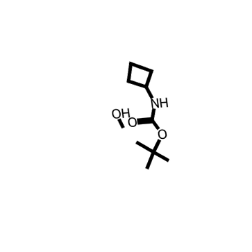 CC(C)(C)OC(=O)NC1CCC1.CO